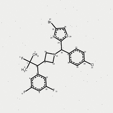 CC(C)(F)C(c1cc(F)cc(F)c1)C1CN(C(c2ccc(Cl)cc2)c2nc(Br)cs2)C1